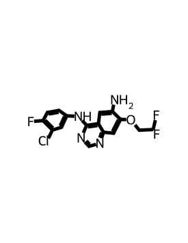 Nc1cc2c(Nc3ccc(F)c(Cl)c3)ncnc2cc1OCC(F)F